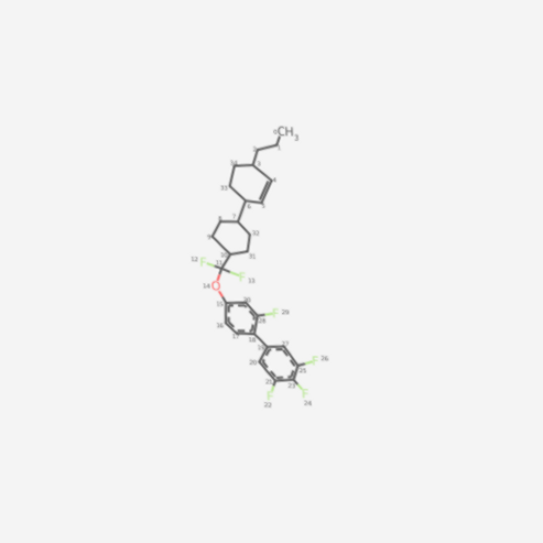 CCCC1C=CC(C2CCC(C(F)(F)Oc3ccc(-c4cc(F)c(F)c(F)c4)c(F)c3)CC2)CC1